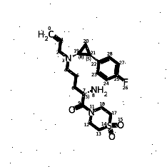 C=CCN(CCC[C@H](N)C(=O)N1CCS(=O)(=O)CC1)[C@@H]1C[C@H]1c1ccc(F)cc1